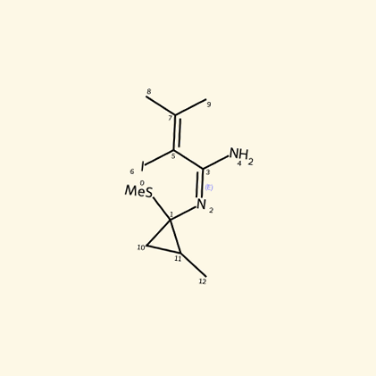 CSC1(/N=C(/N)C(I)=C(C)C)CC1C